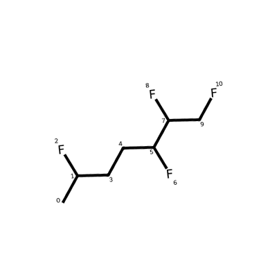 CC(F)CCC(F)C(F)CF